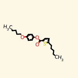 CCCCCOc1ccc(OC(=O)c2ccc(CCCCC)s2)cc1